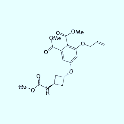 C=CCOc1cc(O[C@H]2C[C@H](NC(=O)OC(C)(C)C)C2)cc(C(=O)OC)c1C(=O)OC